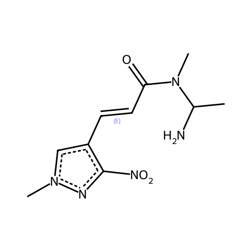 CC(N)N(C)C(=O)/C=C/c1cn(C)nc1[N+](=O)[O-]